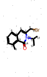 Cc1cccc2cc(CBr)n(C(C)C)c(=O)c12